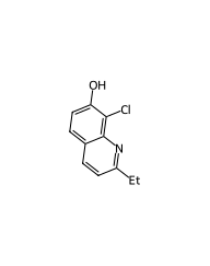 CCc1ccc2ccc(O)c(Cl)c2n1